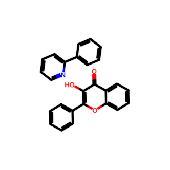 O=c1c(O)c(-c2ccccc2)oc2ccccc12.c1ccc(-c2ccccn2)cc1